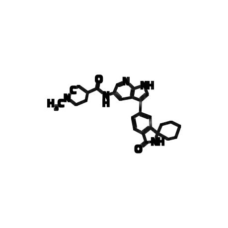 CN1CCC(C(=O)Nc2cnc3[nH]cc(-c4ccc5c(c4)C4(CCCCC4)NC5=O)c3c2)CC1